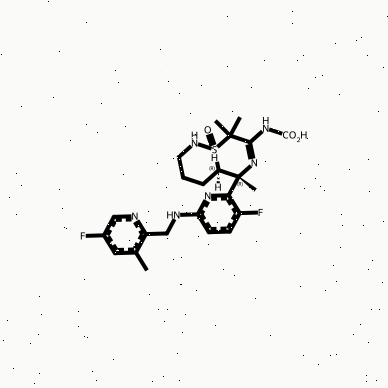 Cc1cc(F)cnc1CNc1ccc(F)c([C@@]2(C)N=C(NC(=O)O)C(C)(C)[SH]3(=O)NCCC[C@H]23)n1